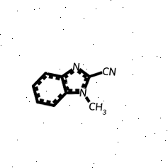 Cn1c(C#N)nc2ccccc21